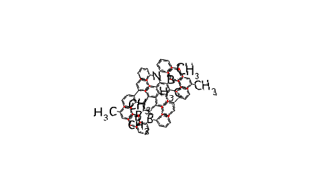 Cc1cc(C)c(B2c3ccccc3B(c3ccccc3)c3c2c(-c2c(-c4ccccc4)cccc2-c2ccccc2)c2ccc4c5c(c(-c6c(-c7ccccc7)cccc6-c6ccccc6)c6ccc3c2c64)B(c2c(C)cc(C)cc2C)c2ccccc2N5c2ccccc2)c(C)c1